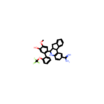 COc1cc(C2Nc3ccc(C(=N)N)cc3C3c4ccccc4CC23)c(-c2ccccc2OC(F)(F)F)cc1O